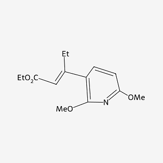 CCOC(=O)C=C(CC)c1ccc(OC)nc1OC